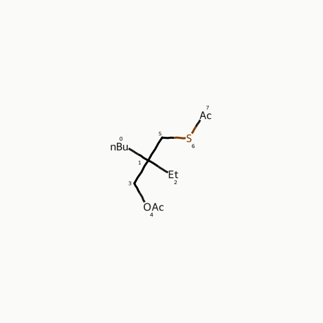 CCCCC(CC)(COC(C)=O)CSC(C)=O